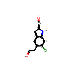 O=C=C1C=c2cc(CC=O)c(Cl)cc2=N1